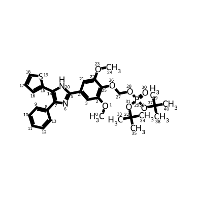 COc1cc(-c2nc(-c3ccccc3)c(-c3cccs3)[nH]2)cc(OC)c1OCOP(=O)(OC(C)(C)C)OC(C)(C)C